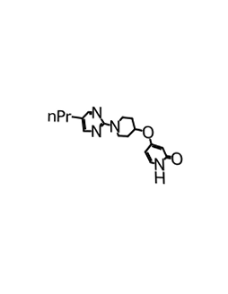 CCCc1cnc(N2CCC(Oc3cc[nH]c(=O)c3)CC2)nc1